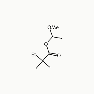 CCC(C)(C)C(=O)OC(C)OC